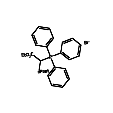 CCCCCC(C(=O)OCC)[P+](c1ccccc1)(c1ccccc1)c1ccccc1.[Br-]